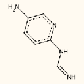 N=CNc1ccc(N)cn1